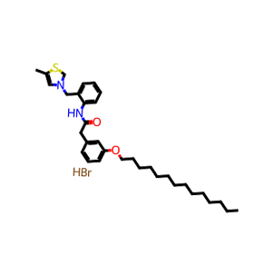 Br.CCCCCCCCCCCCCCOc1cccc(CC(=O)Nc2ccccc2CN2C=C(C)SC2)c1